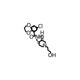 O=C(NC[C@@H]1CCN(CCCO)C[C@H]1O)c1cc(Cl)cc2c1OCCCO2